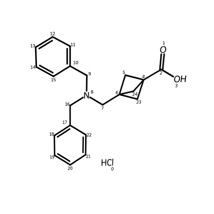 Cl.O=C(O)C12CC(CN(Cc3ccccc3)Cc3ccccc3)(C1)C2